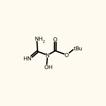 CC(C)(C)OC(=O)N(O)C(=N)N